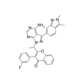 Cc1c2ccc(-c3nn(C(C)c4oc5ccccc5c(=O)c4-c4cccc(F)c4)c4ncnc(N)c34)cc2nn1C